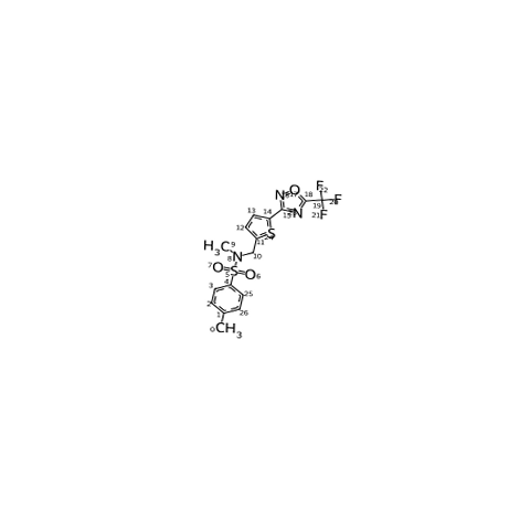 Cc1ccc(S(=O)(=O)N(C)Cc2ccc(-c3noc(C(F)(F)F)n3)s2)cc1